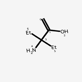 C=C(O)C(N)(CC)CC